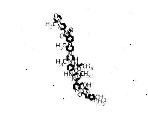 C=CC(=O)Nc1cc(Nc2nc(-c3ccnc(N4CCn5c(cc6c5CC(C)(C)C6)C4=O)c3CO)cn(C)c2=O)ccc1N1CCN(C2CCN(c3ccc4c(c3)C(=O)N(c3ccc(N5CCOC[C@@H]5C)nc3)C4=O)[C@H](C)C2)C[C@@H]1C